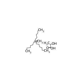 CC(O)C(=O)O.CCCCCC[N+](C)(CCCCCC)CCCCCC